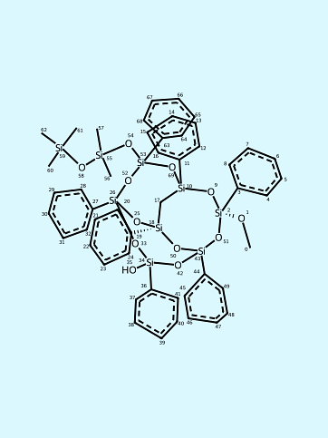 CO[Si@@]1(c2ccccc2)O[Si]2(c3ccccc3)C[Si@]3(c4ccccc4)O[Si](c4ccccc4)(O[Si](O)(c4ccccc4)O[Si](c4ccccc4)(O3)O1)O[Si](O[Si](C)(C)O[Si](C)(C)C)(c1ccccc1)O2